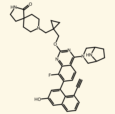 C#Cc1cccc2cc(O)cc(-c3ccc4c(N5CC6CCC(C5)N6)nc(OCC5(CN6CCC7(CCNC7=O)CC6)CC5)nc4c3F)c12